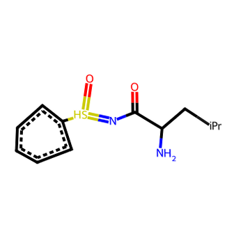 CC(C)CC(N)C(=O)N=[SH](=O)c1ccccc1